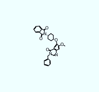 COc1cc2ncn(Cc3ccccc3)c(=O)c2cc1O[C@H]1CC[C@@H](N2C(=O)c3ccccc3C2=O)CC1